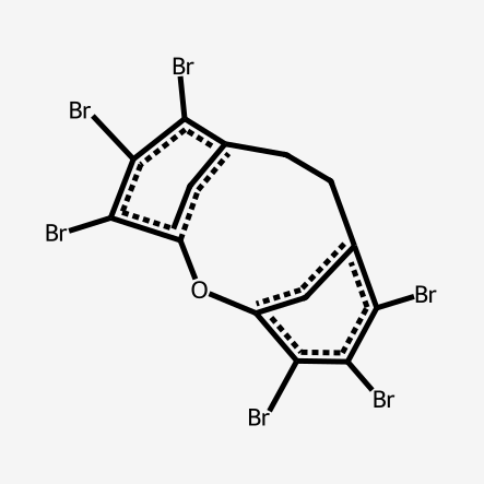 Brc1c2cc(c(Br)c1Br)Oc1cc(c(Br)c(Br)c1Br)CC2